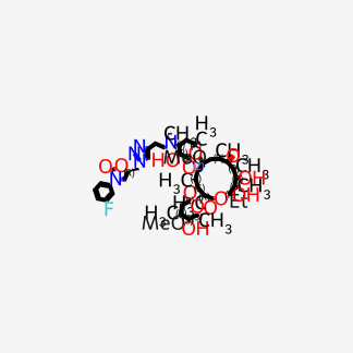 CC[C@H]1OC(=O)[C@H](C)[C@@H](O[C@H]2C[C@@](C)(OC)[C@@H](O)[C@H](C)O2)[C@H](C)/C(O[C@@H]2O[C@H](C)C[C@H](N(C)CCc3cn(C[C@H]4CN(c5cccc(F)c5)C(=O)O4)nn3)[C@H]2O)=C(/OC)C[C@@H](C)C(=O)[C@H](C)[C@@H](O)[C@]1(C)O